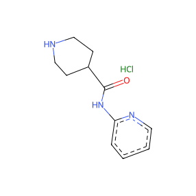 Cl.O=C(Nc1ccccn1)C1CCNCC1